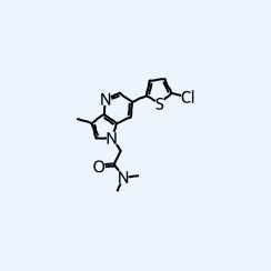 Cc1cn(CC(=O)N(C)C)c2cc(-c3ccc(Cl)s3)cnc12